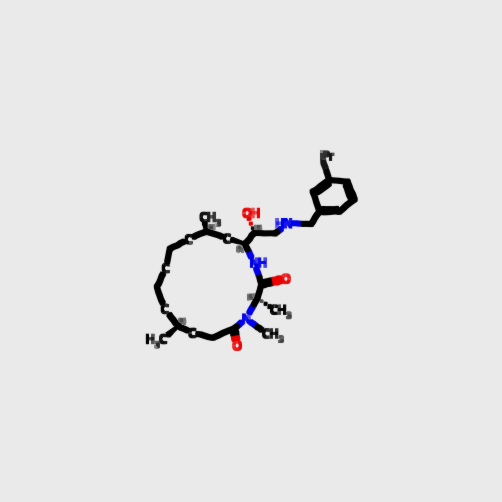 CC(C)c1cccc(CNC[C@@H](O)[C@@H]2C[C@H](C)CCCCC[C@H](C)CCC(=O)N(C)[C@@H](C)C(=O)N2)c1